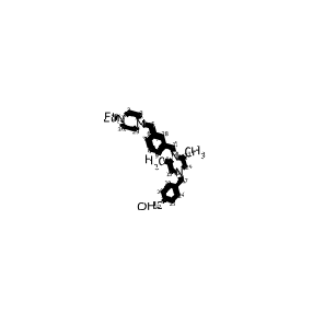 CCN1CCN(Cc2cccc(CN3C(C)CN(Cc4ccc(C=O)cc4)CC3C)c2)CC1